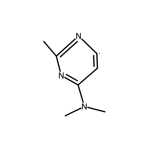 Cc1n[c]cc(N(C)C)n1